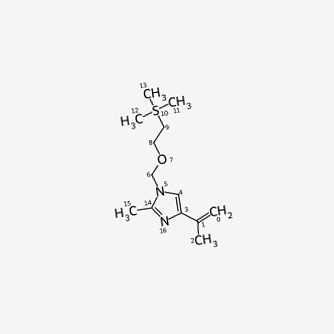 C=C(C)c1cn(COCCS(C)(C)C)c(C)n1